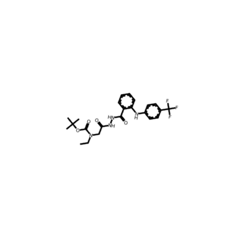 CCN(CC(=O)NNC(=O)c1ccccc1Nc1ccc(C(F)(F)F)cc1)C(=O)OC(C)(C)C